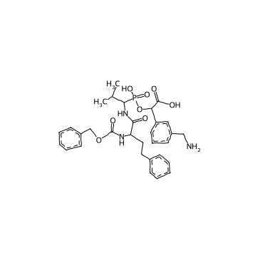 CC(C)C(NC(=O)C(CCc1ccccc1)NC(=O)OCc1ccccc1)P(=O)(O)OC(C(=O)O)c1cccc(CN)c1